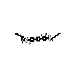 CCCCCC[C@@H](C)OC(=O)c1ccc(-c2ccc(-c3ccc(C(=O)O[C@@H](CCCCCC)C(F)(F)F)c(F)c3F)cc2)c(F)c1F